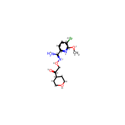 COc1nc(/C(N)=N/OCC(=O)C2CCOCC2)ccc1Br